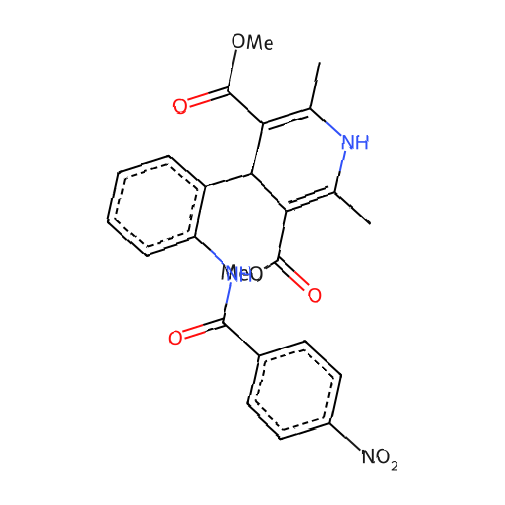 COC(=O)C1=C(C)NC(C)=C(C(=O)OC)C1c1ccccc1NC(=O)c1ccc([N+](=O)[O-])cc1